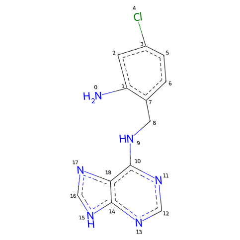 Nc1cc(Cl)ccc1CNc1ncnc2[nH]cnc12